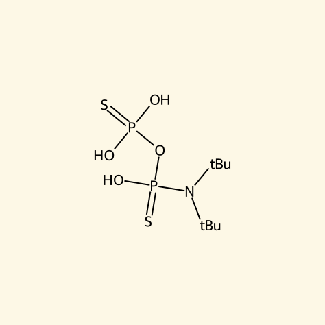 CC(C)(C)N(C(C)(C)C)P(O)(=S)OP(O)(O)=S